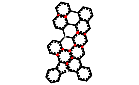 c1ccc(-c2cccc3cccc(-c4ccccc4N(c4ccccc4-c4ccc5c(c4)oc4ccccc45)c4ccccc4-c4cccc5c4ccc4ccccc45)c23)cc1